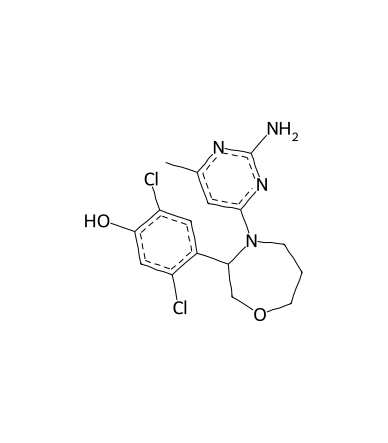 Cc1cc(N2CCCOCC2c2cc(Cl)c(O)cc2Cl)nc(N)n1